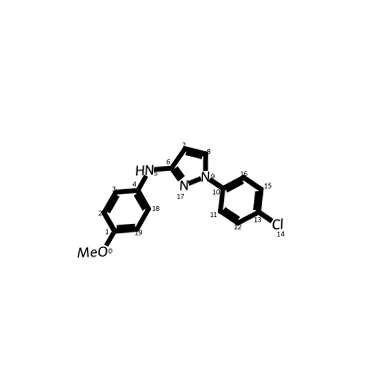 COc1ccc(Nc2ccn(-c3ccc(Cl)cc3)n2)cc1